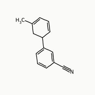 CC1=CC=CC(c2cccc(C#N)c2)C1